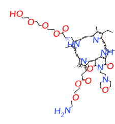 CCC1=C(C)c2cc3[nH]c(cc4nc(c5c6[nH]c(cc1n2)c(C)c6C(=O)N(CCN1CCOCC1)C5=O)[C@@H](CCC(=O)OCCOCCN)[C@@H]4C)c(C)c3/C=C/C(=O)OCCOCCOCCO